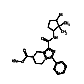 CCC1CCC(NC(=O)c2nc(-c3ccccc3)n3c2CN(C(=O)OC(C)(C)C)CC3)C1(C)C